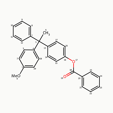 COc1ccc(C(C)(c2ccccc2)c2ccc(OC(=O)c3ccccc3)cc2)cc1